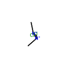 CCCCCCCCCCCCCC[N+](C)(C)Cc1ccc(C(Cl)(Cl)[N+](C)(C)CCCCCCCCCCCCCC)cc1